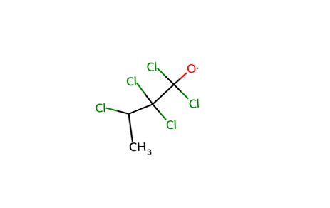 CC(Cl)C(Cl)(Cl)C([O])(Cl)Cl